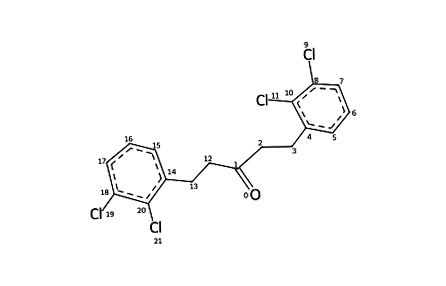 O=C(CCc1cccc(Cl)c1Cl)CCc1cccc(Cl)c1Cl